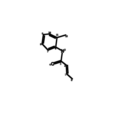 C/C=C/C(=O)[N]c1ccccc1C